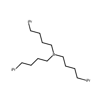 CC(C)CCCCB(CCCCC(C)C)CCCCC(C)C